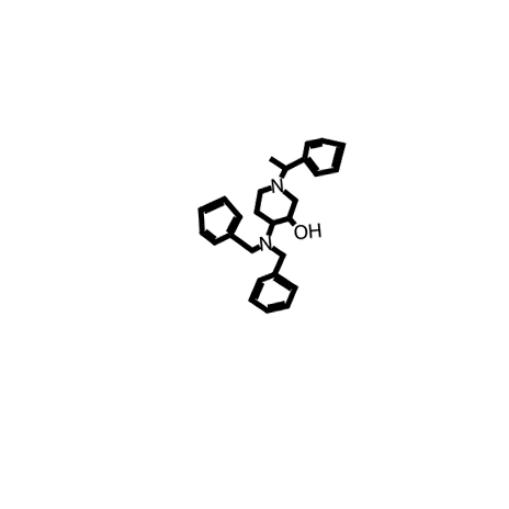 CC(c1ccccc1)N1CCC(N(Cc2ccccc2)Cc2ccccc2)C(O)C1